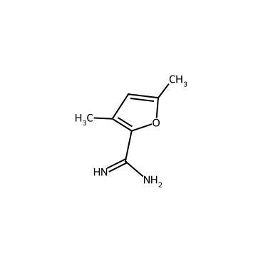 Cc1cc(C)c(C(=N)N)o1